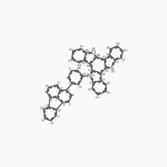 c1cc(-c2ccc3c4c(cccc24)-c2ccccc2-3)cc(-n2c3ccccc3c3c4sc5ccccc5c4c4oc5ccccc5c4c32)c1